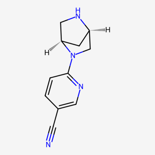 N#Cc1ccc(N2C[C@H]3C[C@@H]2CN3)nc1